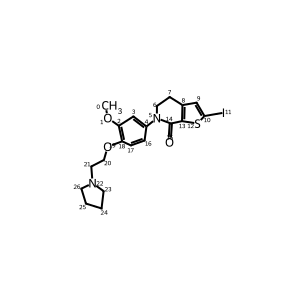 COc1cc(N2CCc3cc(I)sc3C2=O)ccc1OCCN1CCCC1